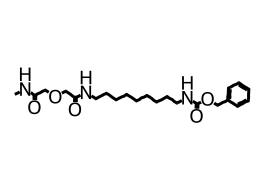 CNC(=O)COCC(=O)NCCCCCCCCCNC(=O)OCc1ccccc1